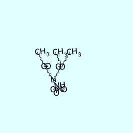 CCCCCCCCCOC(=O)CCCCCCCN(CCCCCCCC(=O)OC(CCCCCCCC)CCCCCCCC)CCCNc1c(N2CCOCC2)c(=O)c1=O